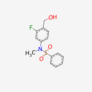 CN(c1ccc(CO)c(F)c1)S(=O)(=O)c1ccccc1